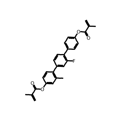 C=C(C)C(=O)Oc1ccc(-c2ccc(-c3ccc(OC(=O)C(=C)C)cc3C)cc2F)cc1